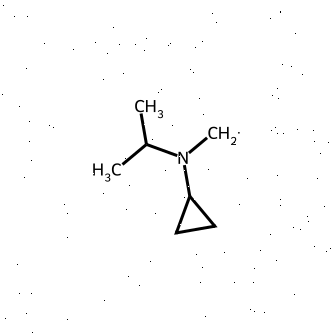 [CH2]N(C(C)C)C1CC1